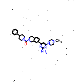 CN1CCN(c2cc(-c3ccc4c(c3)CN(C(=O)N3CCC(c5ccccc5)CC3)CC4)nc(N)n2)CC1